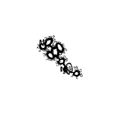 c1ccc(-c2nnc(-c3ccc(-c4c5ccccc5c(-c5cccc6ncccc56)c5ccccc45)cc3)o2)cc1